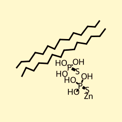 CCCCCCCCCCCCCC.CCCCCCCCCCCCCC.OP(O)(O)=S.OP(O)(O)=S.[Zn]